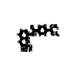 CC(C)c1ccc(C(=O)NC2=CC=CN3CCS(O)(O)N=C23)cc1